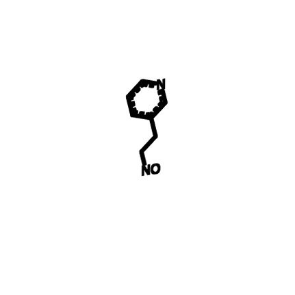 O=NCCc1cccnc1